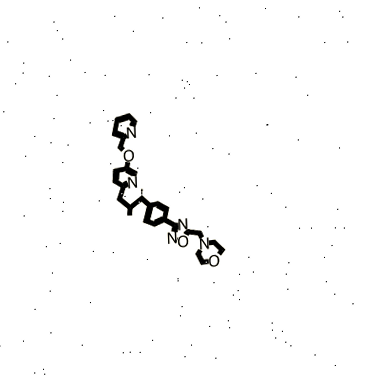 CC(Cc1ccc(OCc2ccccn2)cn1)[C@H](C)c1ccc(-c2noc(CN3CCOCC3)n2)cc1